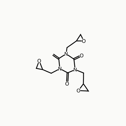 C=C1N(CC2CO2)C(=O)N(CC2CO2)C(=O)N1CC1CO1